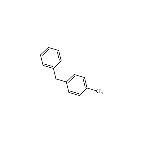 FC(F)(F)c1ccc(Cc2[c]cccc2)cc1